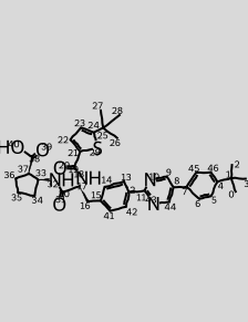 CC(C)(C)c1ccc(-c2cnc(-c3ccc(C[C@H](NC(=O)c4ccc(C(C)(C)C)s4)C(=O)N[C@H]4CCC[C@H]4C(=O)O)cc3)nc2)cc1